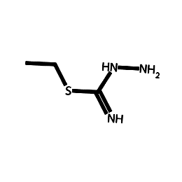 CCSC(=N)NN